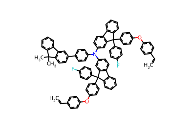 C=Cc1ccc(Oc2ccc(C3(c4ccc(F)cc4)c4ccccc4-c4ccc(N(c5ccc(-c6ccc7c(c6)-c6ccccc6C7(C)C)cc5)c5ccc6c(c5)C(c5ccc(F)cc5)(c5ccc(Oc7ccc(C=C)cc7)cc5)c5ccccc5-6)cc43)cc2)cc1